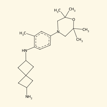 Cc1cc(N2CC(C)(C)OC(C)(C)C2)ccc1NC1CC2(CC(N)C2)C1